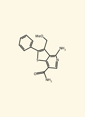 COCc1c(-c2ccccc2)sc2c(C(N)=O)cnc(N)c12